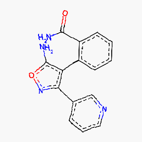 NC(=O)c1ccccc1-c1c(-c2cccnc2)noc1N